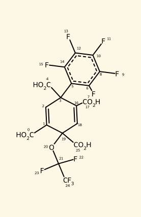 O=C(O)C1=CC(C(=O)O)(c2c(F)c(F)c(F)c(F)c2F)C(C(=O)O)=CC1(OC(F)(F)C(F)(F)F)C(=O)O